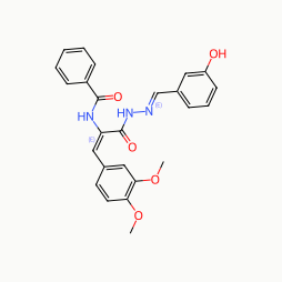 COc1ccc(/C=C(/NC(=O)c2ccccc2)C(=O)N/N=C/c2cccc(O)c2)cc1OC